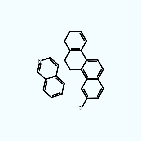 Clc1ccc2ccc3c(c2c1)CCC1=C3C=CCC1.c1ccc2cnccc2c1